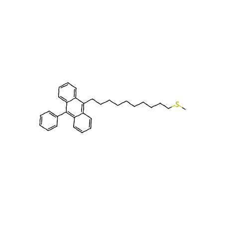 CSCCCCCCCCCCc1c2ccccc2c(-c2ccccc2)c2ccccc12